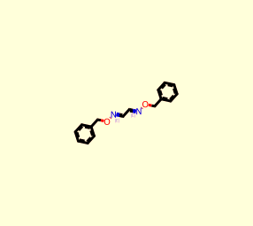 C(/C=N/OCc1ccccc1)=N\OCc1ccccc1